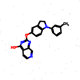 Cc1cccc(N2CCc3cc(Oc4nc(O)c5ccncc5n4)ccc32)c1